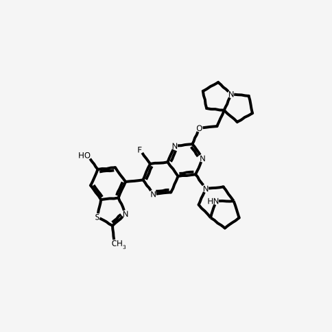 Cc1nc2c(-c3ncc4c(N5CC6CCC(C5)N6)nc(OCC56CCCN5CCC6)nc4c3F)cc(O)cc2s1